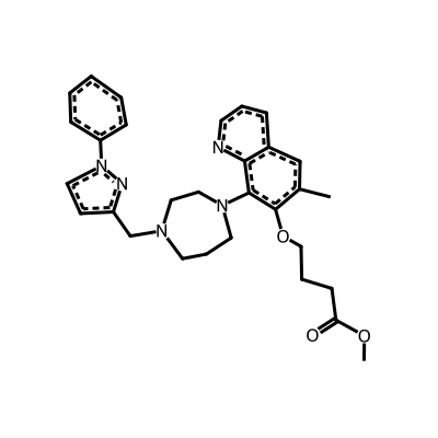 COC(=O)CCCOc1c(C)cc2cccnc2c1N1CCCN(Cc2ccn(-c3ccccc3)n2)CC1